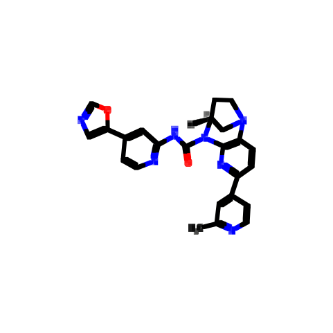 Cc1cc(-c2ccc3c(n2)N(C(=O)Nc2cc(-c4cnco4)ccn2)[C@@H]2CCN3C2)ccn1